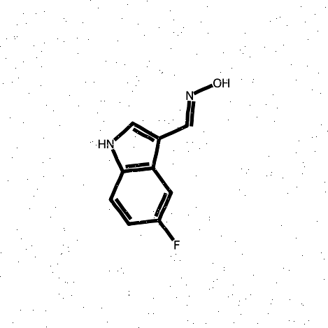 ON=Cc1c[nH]c2ccc(F)cc12